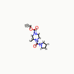 CC1CN(C(=O)OC(C)(C)C)CCN1C(=O)N1CCCC1